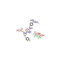 CC(NC(=O)[C@H]1C[C@H](Cc2ccc(F)cc2)CN1CCC(=O)O)C(=O)NCc1ccc(C(=N)N)cc1.O=C(O)C(F)(F)F.O=C(O)C(F)(F)F